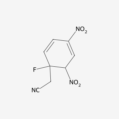 N#CCC1(F)C=CC([N+](=O)[O-])=CC1[N+](=O)[O-]